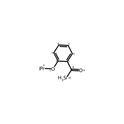 CC(C)Oc1ccccc1C(=O)[SiH3]